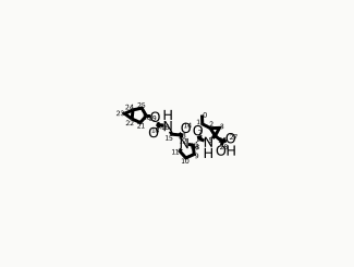 CCC1CC1(NC(=O)[C@@H]1CCCN1C(=O)CNC(=O)OC1CC2CC2C1)C(=O)O